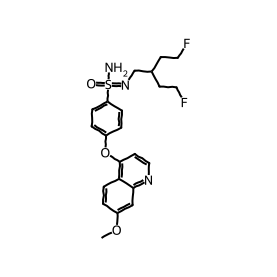 COc1ccc2c(Oc3ccc(S(N)(=O)=NCC(CCF)CCF)cc3)ccnc2c1